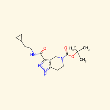 CC(C)(C)OC(=O)N1CCc2[nH]nc(C(=O)NCCC3CC3)c2C1